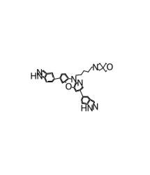 c1cc2c(cc1-c1ccc3[nH]ncc3c1)Oc1cc(-c3ccc4[nH]ncc4c3)cnc1N2CCCCCN1CC2(COC2)C1